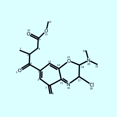 C=c1cc(C(=O)C(C)CC(=O)OC)cc2c1=NC(Cl)C(N(C)C)O2